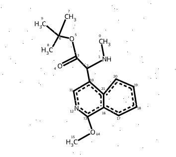 CNC(C(=O)OC(C)(C)C)c1cnc(OC)c2ccccc12